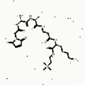 CC(C)[C@H](NC(=O)CN1C(=O)C=CC1=O)C(=O)N[C@@H](C)C(=O)NCCC(=O)N[C@@H](CCCCN)C(=O)OCC[Si](C)(C)C